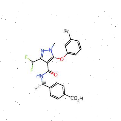 CC(C)c1cccc(Oc2c(C(=O)N[C@@H](C)c3ccc(C(=O)O)cc3)c(C(F)F)nn2C)c1